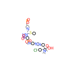 Cc1c(C(=O)O)c(-c2cccc(N3CCN(c4ccc(N5CCO[P@]5(=O)c5ccc(N[C@H](CCN6CCC(COP=O)CC6)CSc6ccccc6)c([N+](=O)[O-])c5)cc4)CC3)c2)c(-c2ccc(Cl)cc2)n1C(C)C